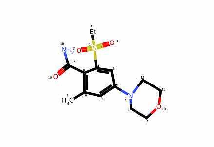 CCS(=O)(=O)c1cc(N2CCOCC2)cc(C)c1C(N)=O